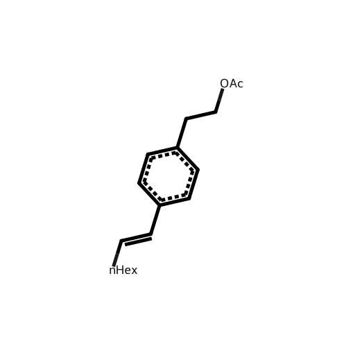 CCCCCCC=Cc1ccc(CCOC(C)=O)cc1